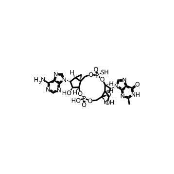 Cc1nc2c(ncn2[C@@H]2O[C@@H]3COP(=O)(O)O[C@H]4[C@@H](O)[C@H](n5cnc6c(N)ncnc65)[C@H]5C[C@]54CO[P@](=O)(S)O[C@@H]2[C@@H]3CO)c(=O)[nH]1